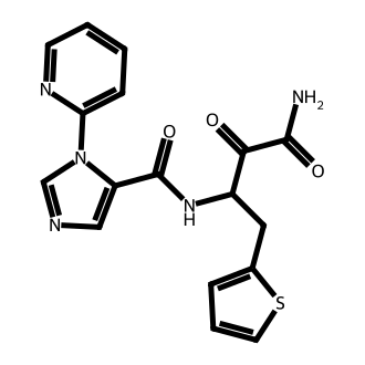 NC(=O)C(=O)C(Cc1cccs1)NC(=O)c1cncn1-c1ccccn1